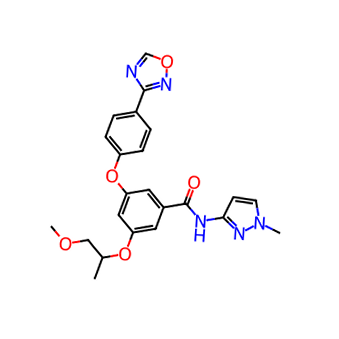 COCC(C)Oc1cc(Oc2ccc(-c3ncon3)cc2)cc(C(=O)Nc2ccn(C)n2)c1